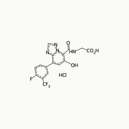 Cl.O=C(O)CNC(=O)c1c(O)cc(-c2ccc(F)c(C(F)(F)F)c2)c2ncnn12